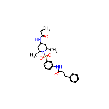 C=CC(=O)NC1CC(C)N(S(=O)(=O)c2cccc(NC(=O)CCc3ccccc3)c2)C(C)C1